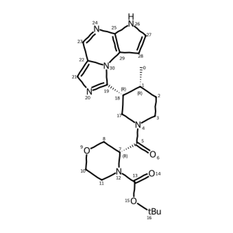 C[C@@H]1CCN(C(=O)[C@H]2COCCN2C(=O)OC(C)(C)C)C[C@@H]1c1ncc2cnc3[nH]ccc3n12